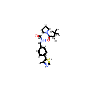 Cc1ncsc1-c1ccc(CNC(=O)[C@@H]2CCCN2C(=O)[C@@H](C)C(C)(C)C)cc1